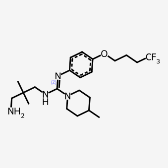 CC1CCN(/C(=N\c2ccc(OCCCC(F)(F)F)cc2)NCC(C)(C)CN)CC1